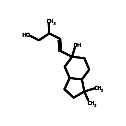 CC(/C=C/C1(O)CCC2C(CCC2(C)C)C1)CO